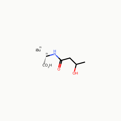 CC[C@H](C)[C@H](NC(=O)CC(C)O)C(=O)O